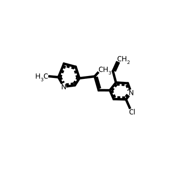 C=Cc1cnc(Cl)cc1/C=C(\C)c1ccc(C)nc1